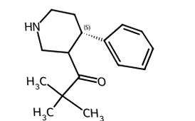 CC(C)(C)C(=O)C1CNCC[C@@H]1c1ccccc1